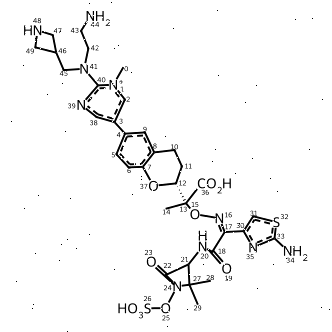 C[n+]1cc(-c2ccc3c(c2)CC[C@H](C(C)(O/N=C(\C(=O)NC2C(=O)N(OS(=O)(=O)O)C2(C)C)c2csc(N)n2)C(=O)O)O3)cnc1N(CCN)CC1CNC1